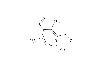 Cc1cc(C)c(C=O)c(C)c1C=O